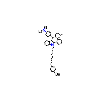 CCC(C)c1ccc(CCCCCCCCn2c(-c3ccccc3)c(C(c3ccc(C)cc3)c3ccc(N(CC)CC)cc3)c3ccccc32)cc1